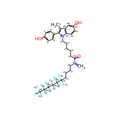 Cc1c(-c2ccc(O)cc2)n(CCCCCC(=O)N(C)CCCCC(F)(F)C(F)(F)C(F)(F)C(F)(F)C(F)(F)C(F)(F)F)c2ccc(O)cc12